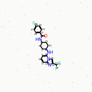 O=C(NC1CCC(Nc2cccc3nc(C(F)F)cn23)CC1)c1ccc(F)cc1